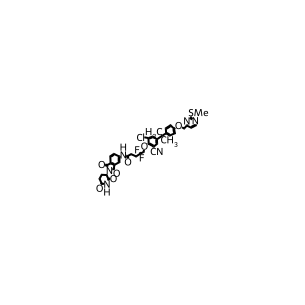 CSc1nccc(COc2ccc(C(C)(C)c3cc(Cl)c(OCC(F)(F)CCC(=O)Nc4ccc5c(c4)C(=O)N(C4CCC(=O)NC4=O)C5=O)c(C#N)c3)cc2)n1